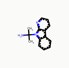 CC(C)(N)n1c2ccccc2c2cccnc21